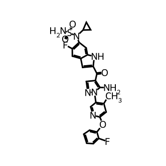 Cc1cc(Oc2ccccc2F)ncc1-n1ncc(C(=O)c2cc3cc(F)c(N(C4CC4)S(N)(=O)=O)cc3[nH]2)c1N